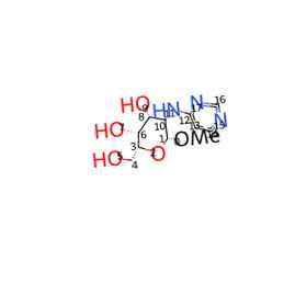 CO[C@@H]1O[C@H](CO)[C@H](O)[C@H](O)[C@H]1Nc1ccncn1